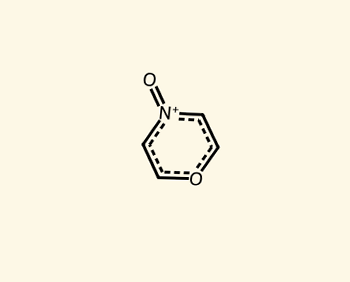 O=[n+]1ccocc1